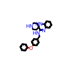 c1ccc(Oc2ccc(CNC3=Nc4ccccc4NC34CCNCC4)cc2)cc1